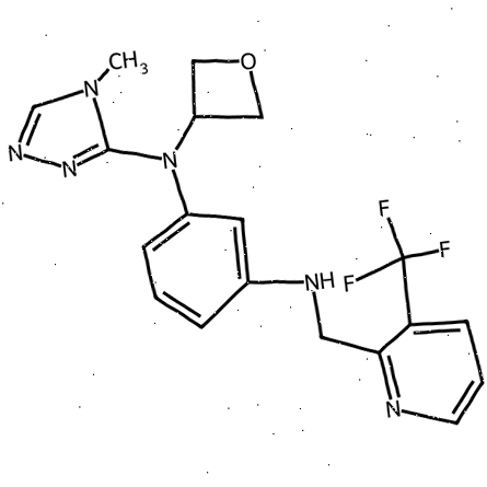 Cn1cnnc1N(c1cccc(NCc2ncccc2C(F)(F)F)c1)C1COC1